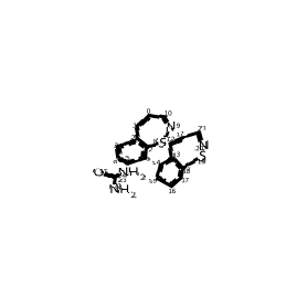 C1=Cc2ccccc2SN=C1.C1=Cc2ccccc2SN=C1.NC(N)=O